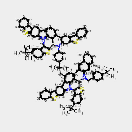 CC(C)(C)c1ccc(CN2B3c4sc5ccc(C(C)(C)C)cc5c4-n4c5cc6sc7ccccc7c6cc5c5c(CC(C)(C)c6ccc(N7B8c9sc%10ccc(C(C)(C)C)cc%10c9-n9c%10cc%11sc%12ccccc%12c%11cc%10c%10ccc(c8c%109)-c8cc9c(cc87)sc7ccccc79)cc6)cc(c3c54)-c3cc4ccccc4cc32)cc1